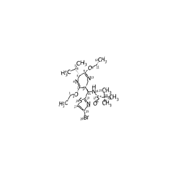 CCOC1=N[C@H](C(C)C)C(OCC)=N[C@H]1C(N[S@@+]([O-])C(C)(C)C)c1nc(Br)cs1